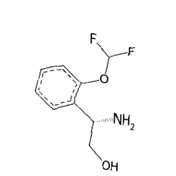 N[C@H](CO)c1ccccc1OC(F)F